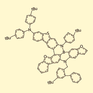 CC(C)(C)c1ccc(N2B3c4cc5occc5cc4N(Cc4ccc(C(C)(C)C)cc4-c4ccccc4)c4cc5c(oc6ccccc65)c(c43)-c3cc4c(cc32)sc2cc(N(c3ccc(C(C)(C)C)cc3)c3ccc(C(C)(C)C)cc3)ccc24)cc1